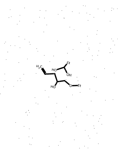 C=CCC(O)COCC.CCC(O)O